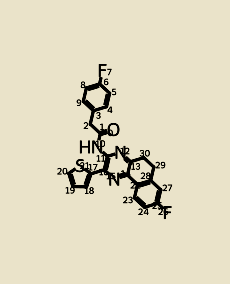 O=C(Cc1ccc(F)cc1)Nc1nc2c(nc1-c1cccs1)-c1ccc(F)cc1CC2